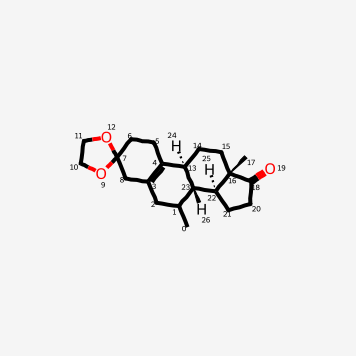 CC1CC2=C(CCC3(C2)OCCO3)[C@H]2CC[C@]3(C)C(=O)CC[C@H]3[C@H]12